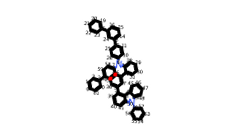 c1ccc(-c2ccc(N(c3ccc(-c4cccc(-c5ccccc5)c4)cc3)c3ccccc3-c3cccc(-c4cccc5c4c4ccccc4n5-c4ccccc4)c3)cc2)cc1